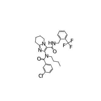 CCCCN(C(=O)c1cccc(Cl)c1)c1nc2n(c1C(=O)NCc1ccccc1C(F)(F)F)CCCC2